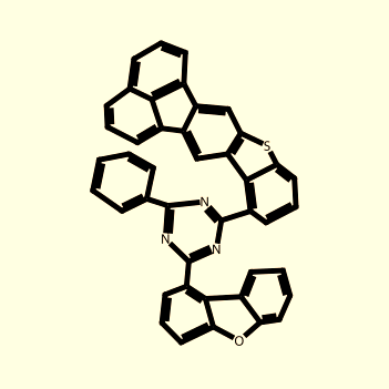 c1ccc(-c2nc(-c3cccc4oc5ccccc5c34)nc(-c3cccc4sc5cc6c(cc5c34)-c3cccc4cccc-6c34)n2)cc1